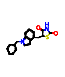 O=C1NC(=O)C(Cc2cccc3c2ccn3Cc2ccccc2)S1